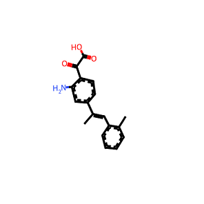 C/C(=C\c1ccccc1C)c1ccc(C(=O)C(=O)O)c(N)c1